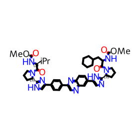 COC(=O)NC(CC1CCCCC1)C(=O)N1CCC[C@H]1c1ncc(-c2ccc3nc(-c4ccc(-c5c[nH]c([C@@H]6CCCN6C(=O)[C@@H](NC(=O)OC)C(C)C)n5)cc4)cnc3c2)[nH]1